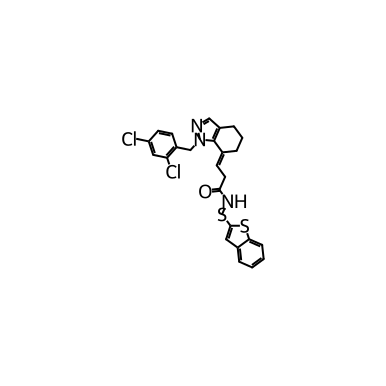 O=C(C/C=C1\CCCc2cnn(Cc3ccc(Cl)cc3Cl)c21)NSc1cc2ccccc2s1